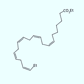 CC/C=C\C/C=C\C/C=C\C/C=C\C/C=C\CCCCCC(=O)OCC